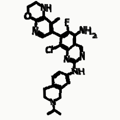 Cc1c(-c2c(F)c(N)c3cnc(Nc4ccc5c(c4)CN(C(C)C)CC5)nc3c2Cl)cnc2c1NCCO2